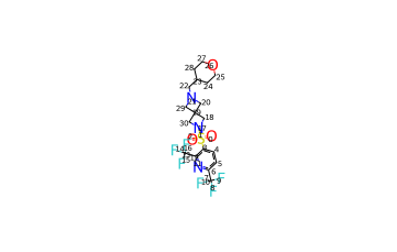 O=S(=O)(c1ccc(C(F)(F)F)nc1C(F)(F)F)N1CC2(CN(CC3CCOCC3)C2)C1